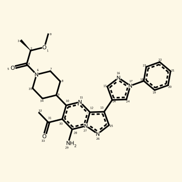 CO[C@H](C)C(=O)N1CCC(c2nc3c(-c4cnn(-c5ccccc5)c4)cnn3c(N)c2C(C)=O)CC1